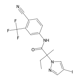 CCC(C)(C(=O)Nc1ccc(C#N)c(C(F)(F)F)c1)n1cc(I)cn1